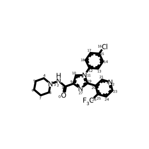 O=C(NN1CCCCC1)c1cn(-c2ccc(Cl)cc2)c(-c2cnccc2C(F)(F)F)n1